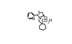 O=C1CSC(c2ccccn2)N1CC1(C(=O)O)CCCCC1